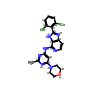 Cc1nc(Nc2nccc3nc(-c4c(Cl)cccc4Cl)[nH]c23)cc(N2CCOCC2)n1